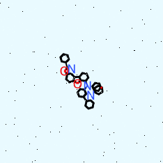 c1ccc(-c2nc3c(ccc4oc5c(N(c6ccccc6)c6cccc7c8ccccc8n(-c8ccccc8)c67)cccc5c43)o2)cc1